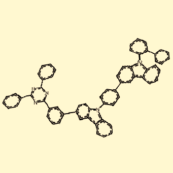 c1ccc(-c2nc(-c3ccccc3)nc(-c3cccc(-c4ccc5c(c4)c4ccccc4n5-c4ccc(-c5ccc6c(c5)c5ccccc5n6-c5ccccc5-c5ccccc5)cc4)c3)n2)cc1